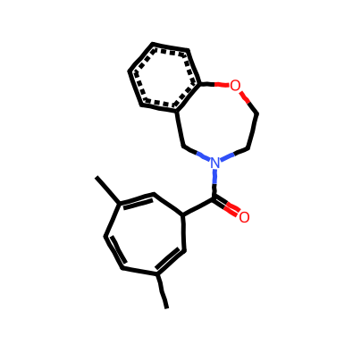 CC1=CC(C(=O)N2CCOc3ccccc3C2)C=C(C)C=C1